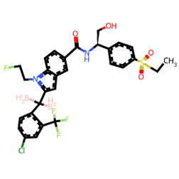 BC(B)(c1ccc(Cl)cc1C(F)(F)F)c1cc2cc(C(=O)N[C@@H](CO)c3ccc(S(=O)(=O)CC)cc3)ccc2n1CCF